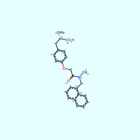 CO[C@@H](Cc1ccc(OCC(=O)N(C)Cc2cccc3ccccc23)cc1)C(=O)O